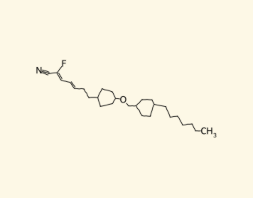 CCCCCCCC1CCC(COC2CCC(CCC=CC=C(F)C#N)CC2)CC1